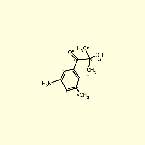 Cc1cc(N)cc(C(=O)C(C)(C)O)c1